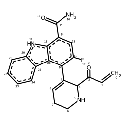 C=CC(=O)C1NCCC=C1c1c(F)cc(C(N)=O)c2[nH]c3ccccc3c12